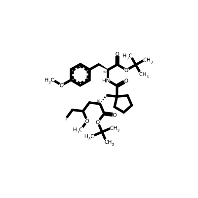 COc1ccc(C[C@H](NC(=O)C2(C[C@@H](CC(CI)OC)C(=O)OC(C)(C)C)CCCC2)C(=O)OC(C)(C)C)cc1